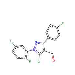 O=Cc1c(-c2ccc(F)cc2)nn(-c2cc(F)ccc2F)c1Cl